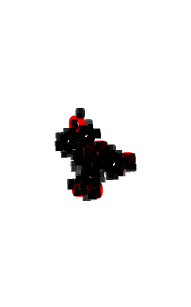 COc1cccc(C2(c3ccccc3)C=Cc3c(c4c(c5cc(OC)c(OC)cc35)-c3ccc(OC)cc3C4(C)O)O2)c1